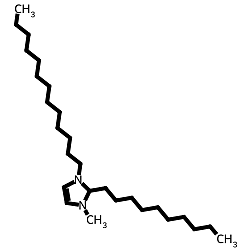 CCCCCCCCCCCCCN1C=CN(C)C1CCCCCCCCCC